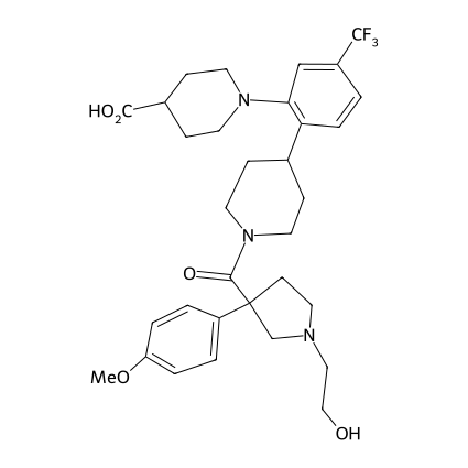 COc1ccc(C2(C(=O)N3CCC(c4ccc(C(F)(F)F)cc4N4CCC(C(=O)O)CC4)CC3)CCN(CCO)C2)cc1